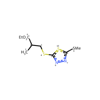 CCOC(=O)C(C)CSc1nnc(SC)s1